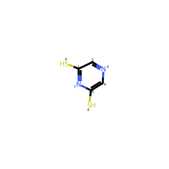 Sc1cncc(S)n1